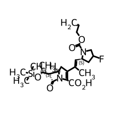 C=CCOC(=O)N1CC(F)C[C@H]1C=C(C)C1=C(C(=O)O)N2C(=O)[C@H]([C@@H](C)O[Si](C)(C)C)[C@H]2C1